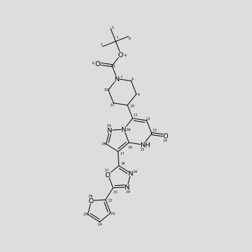 CC(C)(C)OC(=O)N1CCC(c2cc(=O)[nH]c3c(-c4nnc(-c5ccco5)o4)cnn23)CC1